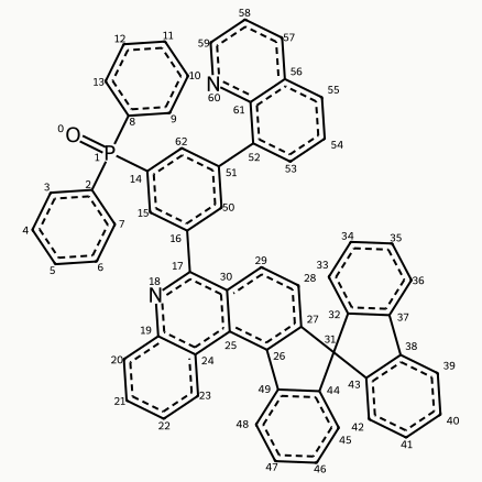 O=P(c1ccccc1)(c1ccccc1)c1cc(-c2nc3ccccc3c3c4c(ccc23)C2(c3ccccc3-c3ccccc32)c2ccccc2-4)cc(-c2cccc3cccnc23)c1